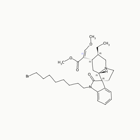 CC[C@H]1CN2CC[C@]3(C(=O)N(CCCCCCCCBr)c4ccccc43)[C@@H]2C[C@@H]1/C(=C\OC)C(=O)OC